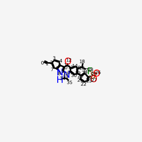 C#Cc1ccc2c(c1)[nH]c1c2c(=O)c2cc(C(C)C)c(-c3cccc(S(=O)(=O)F)c3)cc2n1C(C)C